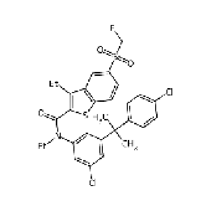 CCc1c(C(=O)N(CC)c2cc(Cl)cc(C(C)(C)c3ccc(Cl)cc3)c2)sc2ccc(S(=O)(=O)CF)cc12